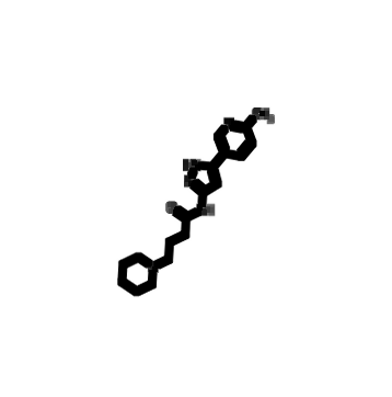 Cc1ccc(-c2cc(NC(=O)CCCN3CCCCC3)n[nH]2)cn1